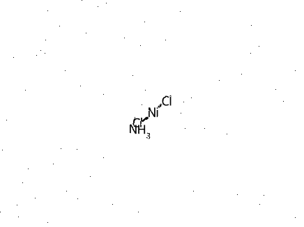 N.[Cl][Ni][Cl]